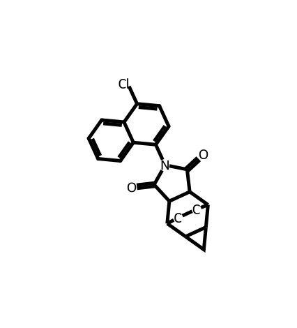 O=C1C2C3CCC(C4CC43)C2C(=O)N1c1ccc(Cl)c2ccccc12